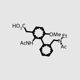 CCN(Cc1ccccc1-c1c(OC)ccc(CC(=O)O)c1NC(C)=O)C(C)=O